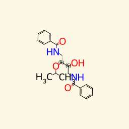 CC(C)O[C@H](CNC(=O)c1ccccc1)[C@@H](O)CNC(=O)c1ccccc1